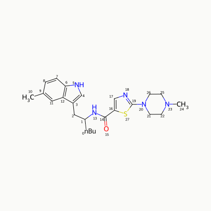 CCCCC(Cc1c[nH]c2ccc(C)cc12)NC(=O)c1cnc(N2CCN(C)CC2)s1